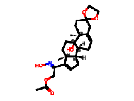 CC(=O)OCC(=NO)C1=CC[C@H]2[C@@H]3CC=C4CC5(CC[C@]4(C)[C@@]3(O)CC[C@]12C)OCCO5